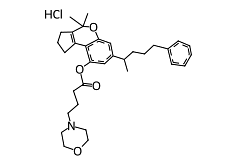 CC(CCCc1ccccc1)c1cc(OC(=O)CCCN2CCOCC2)c2c(c1)OC(C)(C)C1=C2CCC1.Cl